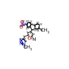 [2H]C(=O)CC(CCCc1cn(C)nn1)C1c2cc(C)ccc2-c2ccc([N+](=O)[O-])cc21